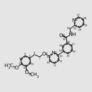 COc1ccc(CCOc2cccc(-c3cccc(C(=O)NCc4ccccn4)c3)n2)cc1OC